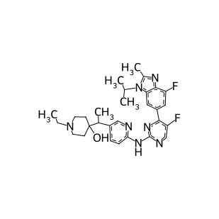 CCN1CCC(O)(C(C)c2ccc(Nc3ncc(F)c(-c4cc(F)c5nc(C)n(C(C)C)c5c4)n3)nc2)CC1